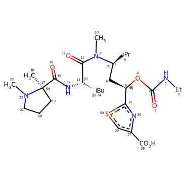 CCNC(=O)O[C@H](C[C@H](C(C)C)N(C)C(=O)[C@@H](NC(=O)[C@@]1(C)CCCN1C)[C@@H](C)CC)c1nc(C(=O)O)cs1